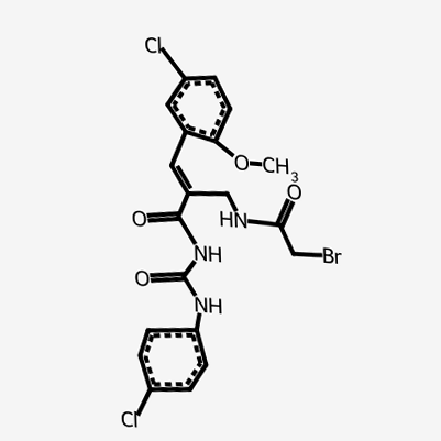 COc1ccc(Cl)cc1C=C(CNC(=O)CBr)C(=O)NC(=O)Nc1ccc(Cl)cc1